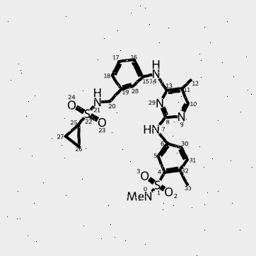 CNS(=O)(=O)c1cc(Nc2ncc(C)c(Nc3cccc(CNS(=O)(=O)C4CC4)c3)n2)ccc1C